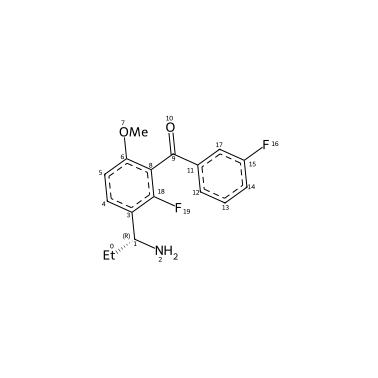 CC[C@@H](N)c1ccc(OC)c(C(=O)c2cccc(F)c2)c1F